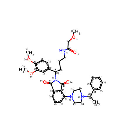 COCC(=O)NCCC[C@H](c1ccc(OC)c(OC)c1)N1C(=O)c2cccc(N3CCN([C@H](C)c4ccccc4)CC3)c2C1=O